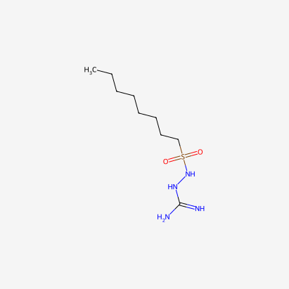 CCCCCCCCS(=O)(=O)NNC(=N)N